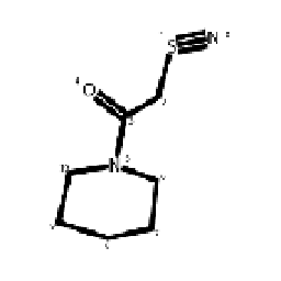 N#SCC(=O)N1CCCCC1